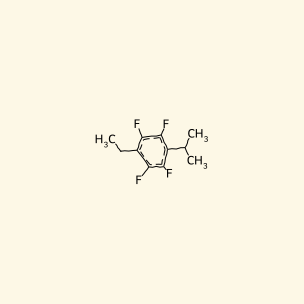 CCc1c(F)c(F)c(C(C)C)c(F)c1F